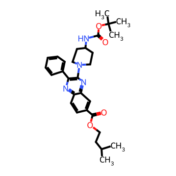 CC(C)CCOC(=O)c1ccc2nc(-c3ccccc3)c(N3CCC(NC(=O)OC(C)(C)C)CC3)nc2c1